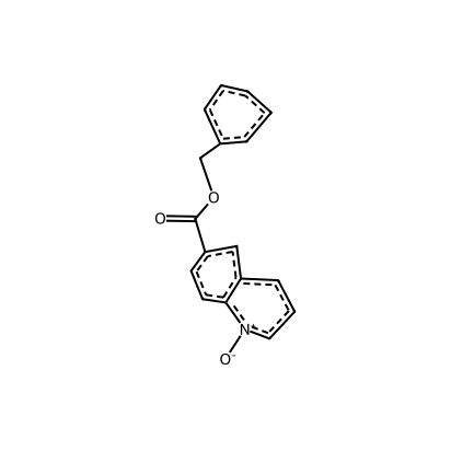 O=C(OCc1ccccc1)c1ccc2c(ccc[n+]2[O-])c1